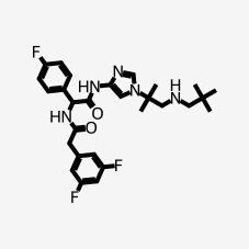 CC(C)(C)CNCC(C)(C)n1cnc(NC(=O)C(NC(=O)Cc2cc(F)cc(F)c2)c2ccc(F)cc2)c1